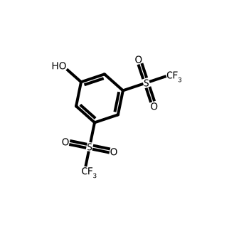 O=S(=O)(c1cc(O)cc(S(=O)(=O)C(F)(F)F)c1)C(F)(F)F